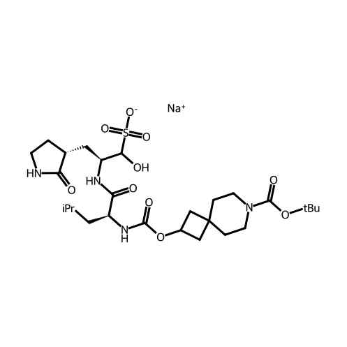 CC(C)C[C@H](NC(=O)OC1CC2(CCN(C(=O)OC(C)(C)C)CC2)C1)C(=O)N[C@@H](C[C@H]1CCNC1=O)C(O)S(=O)(=O)[O-].[Na+]